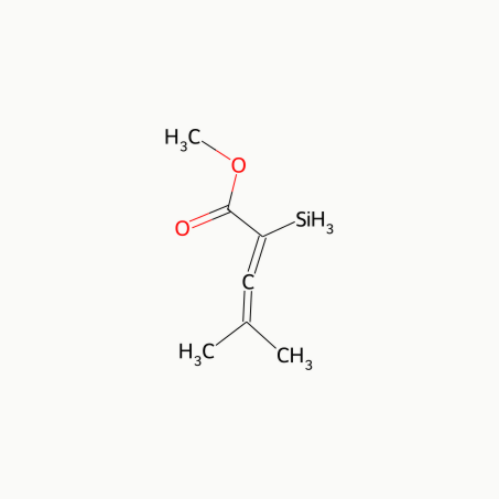 COC(=O)C([SiH3])=C=C(C)C